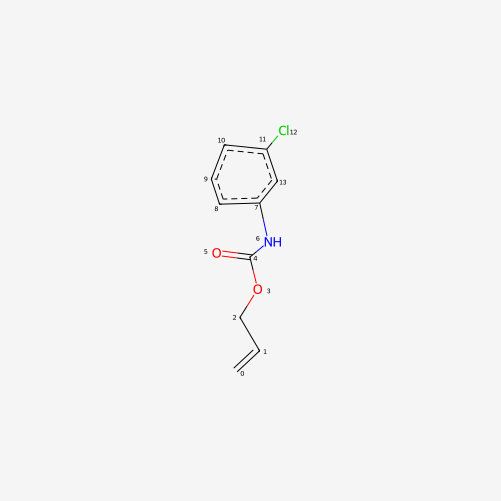 C=CCOC(=O)Nc1c[c]cc(Cl)c1